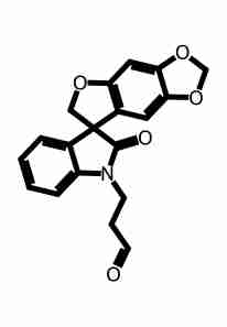 O=CCCN1C(=O)C2(COc3cc4c(cc32)OCO4)c2ccccc21